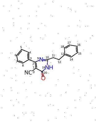 N#Cc1c(-c2ccccc2)nc(CCc2ccccc2)[nH]c1=O